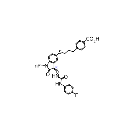 CCCN1C(=O)/C(=N\NC(=O)Nc2ccc(F)cc2)c2cc(SCCCc3ccc(C(=O)O)cc3)ccc21